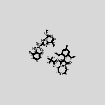 CCc1cc(C)cc(CC)c1-c1c(OC(=O)C(C)(C)C)n2n(c1=O)CCOCC2.COc1ncc(F)c2nc(S(=O)(=O)Nc3c(F)cccc3F)nn12